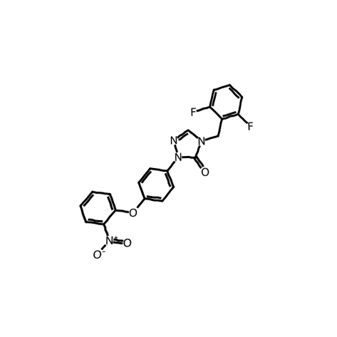 O=c1n(Cc2c(F)cccc2F)cnn1-c1ccc(Oc2ccccc2[N+](=O)[O-])cc1